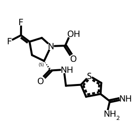 N=C(N)c1csc(CNC(=O)[C@@H]2CC(=C(F)F)CN2C(=O)O)c1